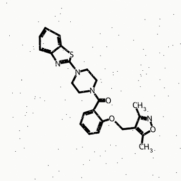 Cc1noc(C)c1COc1ccccc1C(=O)N1CCN(c2nc3ccccc3s2)CC1